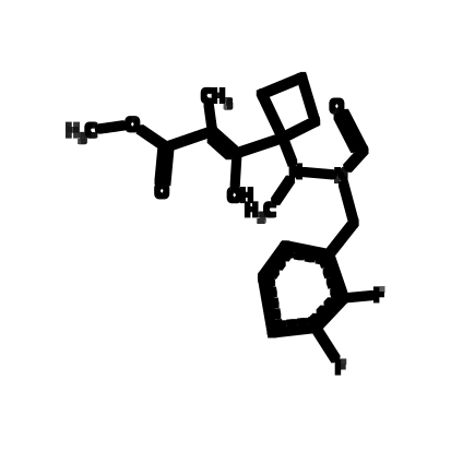 COC(=O)/C(C)=C(\O)C1(N(C)N(C=O)Cc2cccc(F)c2F)CCC1